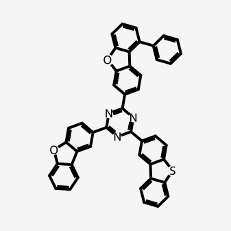 c1ccc(-c2cccc3oc4cc(-c5nc(-c6ccc7oc8ccccc8c7c6)nc(-c6ccc7sc8ccccc8c7c6)n5)ccc4c23)cc1